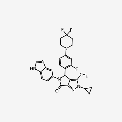 Cc1c2c(nn1C1CC1)C(=O)N(c1ccc3[nH]cnc3c1)C2c1ccc(N2CCC(F)(F)CC2)cc1F